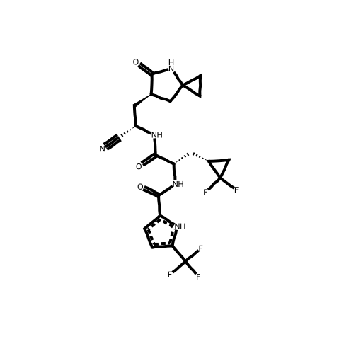 N#C[C@H](C[C@@H]1CC2(CC2)NC1=O)NC(=O)[C@H](C[C@@H]1CC1(F)F)NC(=O)c1ccc(C(F)(F)F)[nH]1